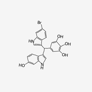 Oc1ccc2c(C(c3cc(O)c(O)c(O)c3)c3c[nH]c4cc(Br)ccc34)c[nH]c2c1